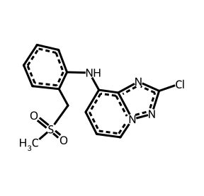 CS(=O)(=O)Cc1ccccc1Nc1cccn2nc(Cl)nc12